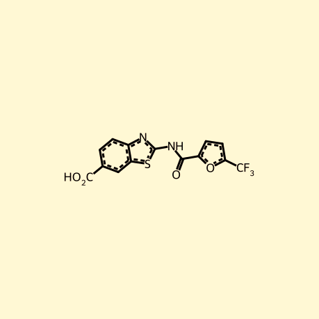 O=C(O)c1ccc2nc(NC(=O)c3ccc(C(F)(F)F)o3)sc2c1